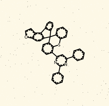 c1ccc(-c2cc(-c3cccc4c3Sc3ccccc3C43c4ccccc4-c4c3ccc3occc43)nc(-c3ccccc3)n2)cc1